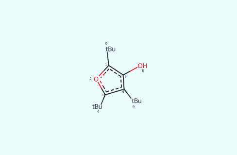 CC(C)(C)c1oc(C(C)(C)C)c(C(C)(C)C)c1O